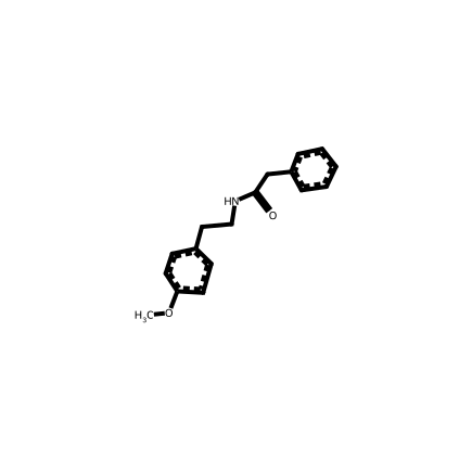 COc1ccc(CCNC(=O)Cc2ccccc2)cc1